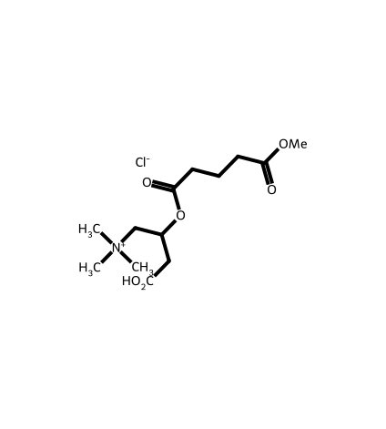 COC(=O)CCCC(=O)OC(CC(=O)O)C[N+](C)(C)C.[Cl-]